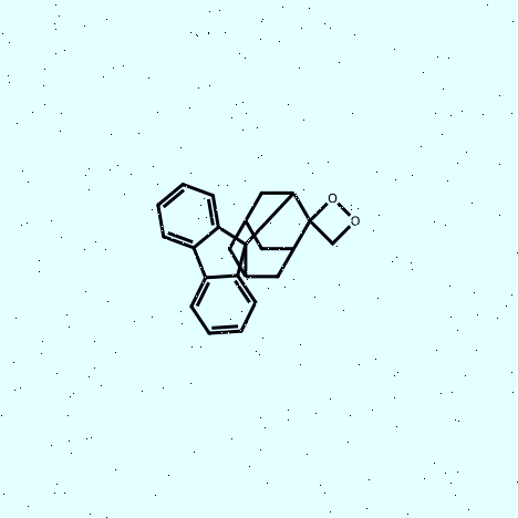 c1ccc2c(c1)-c1ccccc1C21C2CC3CC(C2)C2(COO2)C1C3